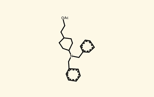 CC(=O)OCCC1CCC(N(Cc2ccccc2)Cc2ccccc2)CC1